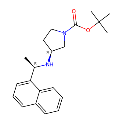 C[C@@H](N[C@H]1CCN(C(=O)OC(C)(C)C)C1)c1cccc2ccccc12